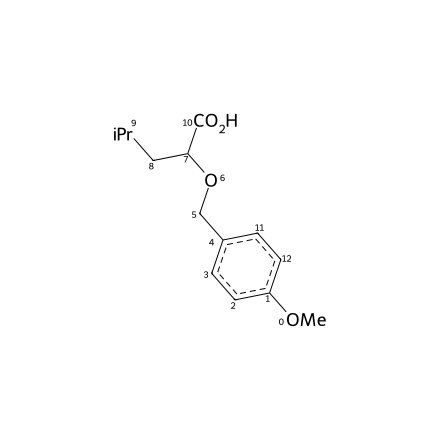 COc1ccc(COC(CC(C)C)C(=O)O)cc1